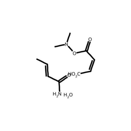 C/C=C/C(N)=O.CN(C)OC(=O)/C=C\C(=O)O.O